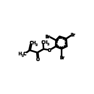 C=C(C)C(=O)C(C)Oc1c(Br)cc(Br)cc1Br